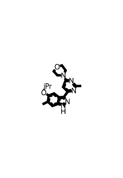 Cc1nc(-c2n[nH]c3cc(C)c(OC(C)C)cc23)cc(N2CCOCC2)n1